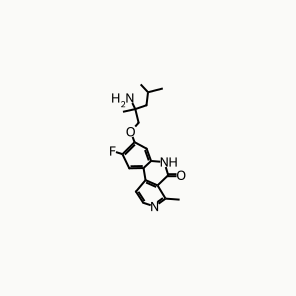 Cc1nccc2c1c(=O)[nH]c1cc(OCC(C)(N)CC(C)C)c(F)cc12